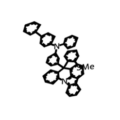 CSc1ccccc1C1(c2cccc(N(c3ccccc3)c3ccc(-c4ccccc4)cc3)c2)c2ccccc2-n2c3ccccc3c3cccc1c32